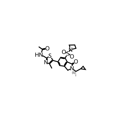 CC(=O)Nc1nc(C)c(-c2cc3c(c(S(=O)(=O)N4CCC4)c2)C(=O)N([C@@H](C)C2CC2)C3)s1